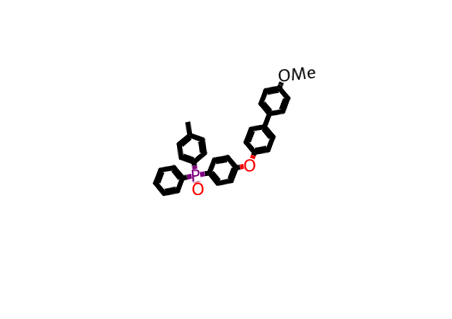 COc1ccc(-c2ccc(Oc3ccc(P(=O)(c4ccccc4)c4ccc(C)cc4)cc3)cc2)cc1